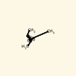 C=CCCCCN1CC(OC(=O)CCCCCCCCCCCCCCCCC)N(c2nc3cc(CCCC=C)ccc3s2)C1=O